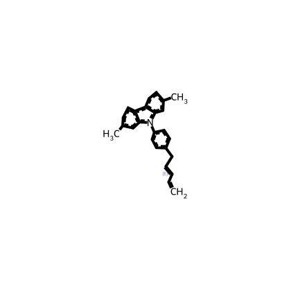 C=C/C=C/Cc1ccc(-n2c3cc(C)ccc3c3ccc(C)cc32)cc1